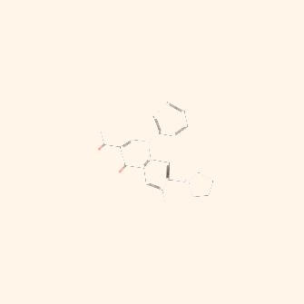 O=C(O)c1cn(-c2ccc(F)cc2F)c2c(F)c(N3CCCC3)c(F)cc2c1=O